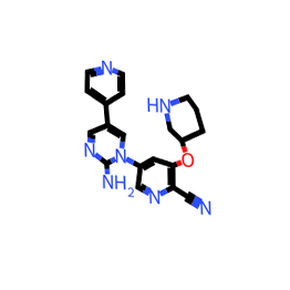 N#Cc1ncc(N2C=C(c3ccncc3)C=NC2N)cc1OC1CCCNC1